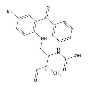 C[C@H](C=O)C(CNc1ccc(Br)cc1C(=O)c1cccnc1)NC(=O)O